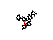 C1=C(c2ccccc2)CCC(N(c2ccc(-c3ccccc3)cc2)c2cccc3c2oc2ccccc23)=C1